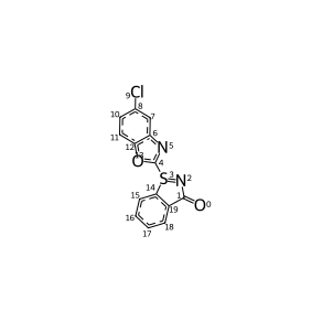 O=C1N=S(c2nc3cc(Cl)ccc3o2)c2ccccc21